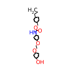 C=CCc1ccc(COC(=O)Nc2ccc(OCCOc3ccc(O)cc3)cc2)cc1